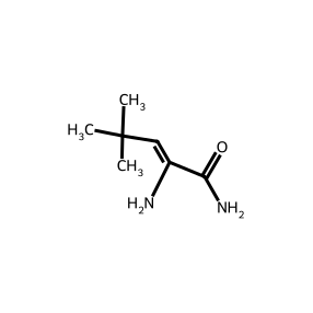 CC(C)(C)C=C(N)C(N)=O